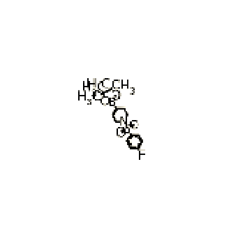 CC1(C)OB(C2=CCN(S(=O)(=O)c3ccc(F)cc3)CC2)OC1(C)C